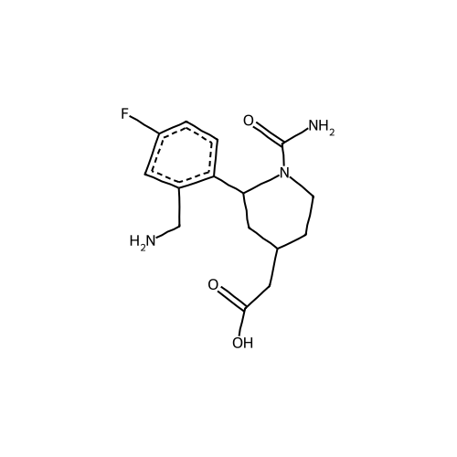 NCc1cc(F)ccc1C1CC(CC(=O)O)CCN1C(N)=O